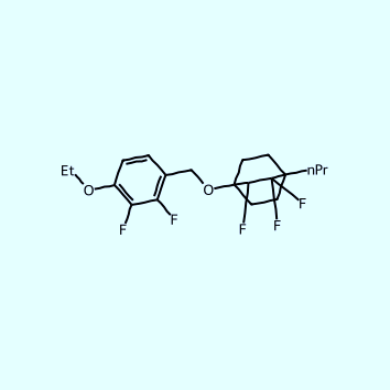 CCCC12CCC(OCc3ccc(OCC)c(F)c3F)(CC1)C(F)C2(F)F